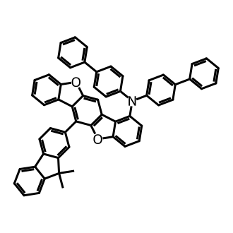 CC1(C)c2ccccc2-c2ccc(-c3c4oc5cccc(N(c6ccc(-c7ccccc7)cc6)c6ccc(-c7ccccc7)cc6)c5c4cc4oc5ccccc5c34)cc21